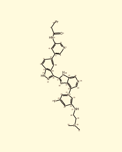 CC(C)CC(=O)Nc1cncc(-c2ccc3[nH]nc(-c4nc5c(-[n+]6cc(F)cc(NCCN(C)C)c6)cncc5[nH]4)c3c2)c1